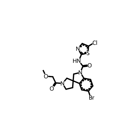 COCC(=O)N1CCC2(C1)CN(C(=O)Nc1ncc(Cl)s1)c1ccc(Br)cc12